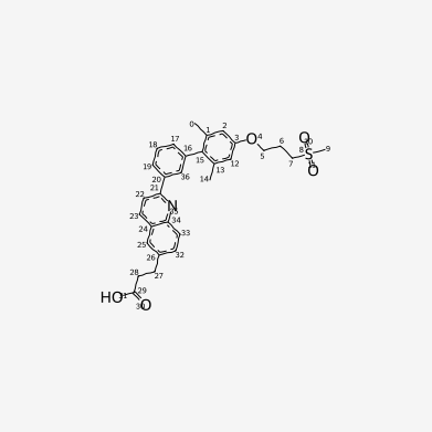 Cc1cc(OCCCS(C)(=O)=O)cc(C)c1-c1cccc(-c2ccc3cc(CCC(=O)O)ccc3n2)c1